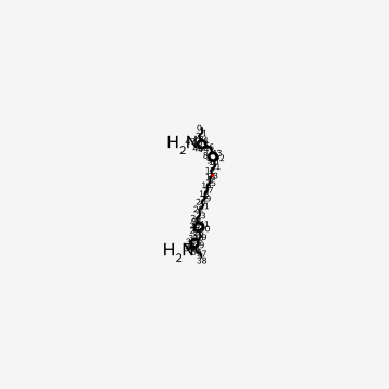 CCCc1cc(Cc2ccc(CCCCCCCCCCCCCCc3ccc(Cc4ccc(N)c(CCC)c4)cc3)cc2)ccc1N